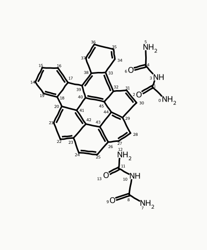 NC(=O)NC(N)=O.NC(=O)NC(N)=O.c1ccc2c(c1)c1ccc3ccc4ccc5ccc6c7ccccc7c2c2c1c3c4c5c62